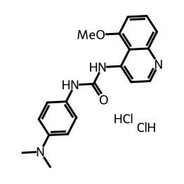 COc1cccc2nccc(NC(=O)Nc3ccc(N(C)C)cc3)c12.Cl.Cl